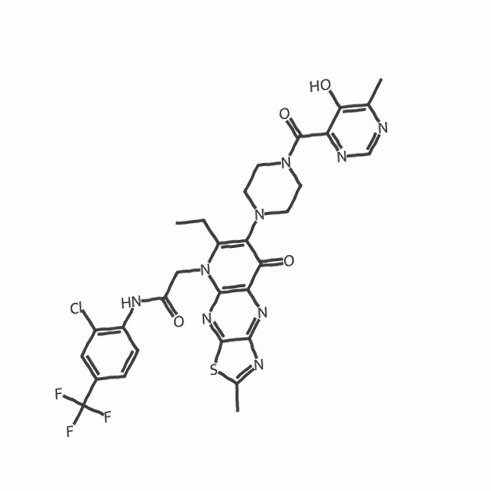 CCc1c(N2CCN(C(=O)c3ncnc(C)c3O)CC2)c(=O)c2nc3nc(C)sc3nc2n1CC(=O)Nc1ccc(C(F)(F)F)cc1Cl